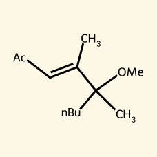 CCCCC(C)(OC)C(C)=CC(C)=O